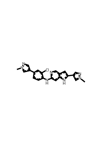 Cn1cc(-c2ccc(Nc3cc4[nH]c(-c5cnn(C)c5)cc4cn3)c(Cl)c2)cn1